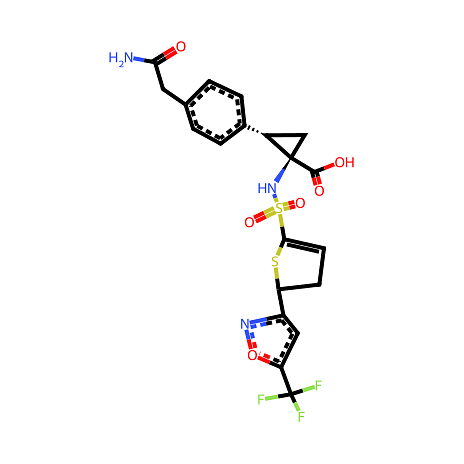 NC(=O)Cc1ccc([C@@H]2C[C@]2(NS(=O)(=O)C2=CCC(c3cc(C(F)(F)F)on3)S2)C(=O)O)cc1